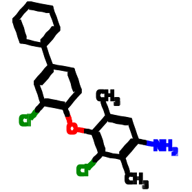 Cc1cc(N)c(C)c(Cl)c1Oc1ccc(-c2ccccc2)cc1Cl